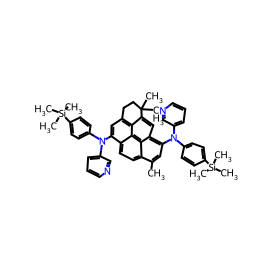 Cc1cc(N(c2ccc([Si](C)(C)C)cc2)c2cccnc2)c2cc3c4c(cc(N(c5ccc([Si](C)(C)C)cc5)c5cccnc5)c5ccc1c2c54)CCC3(C)C